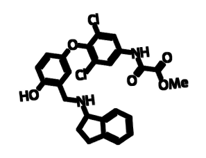 COC(=O)C(=O)Nc1cc(Cl)c(Oc2ccc(O)c(CNC3CCc4ccccc43)c2)c(Cl)c1